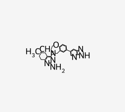 CC1(C)CCc2nc(N)nc(N3CCOc4ccc(-c5cnc6[nH]cnc6c5)cc4C3)c2C1